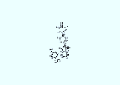 COc1ccc(F)cc1-c1ccnc2[nH]c(C3=CCC(C4CCNCC4)CC3)cc12